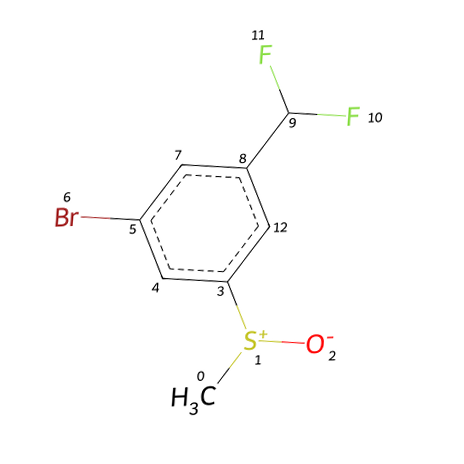 C[S+]([O-])c1cc(Br)cc(C(F)F)c1